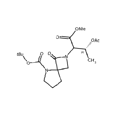 COC(=O)C([C@@H](C)OC(C)=O)N1CC2(CCCN2C(=O)OC(C)(C)C)C1=O